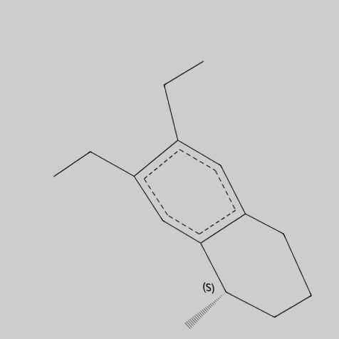 CCc1cc2c(cc1CC)[C@@H](C)CCC2